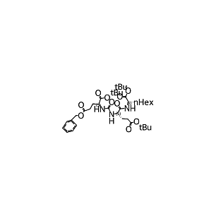 CCCCCC[C@H](NC(=O)[C@H](CCC(=O)OC(C)(C)C)NC(=O)N[C@@H](CCC(=O)OCc1ccccc1)C(=O)OC(C)(C)C)C(=O)OC(C)(C)C